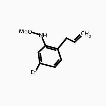 C=CCc1ccc(CC)cc1NOC